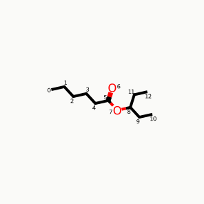 CCCCCC(=O)OC(CC)CC